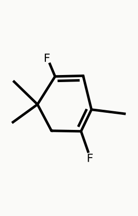 CC1=C(F)CC(C)(C)C(F)=C1